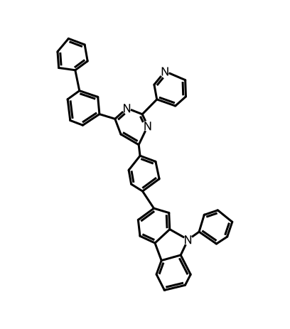 c1ccc(-c2cccc(-c3cc(-c4ccc(-c5ccc6c7ccccc7n(-c7ccccc7)c6c5)cc4)nc(-c4cccnc4)n3)c2)cc1